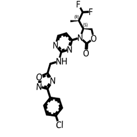 C[C@@H](C(F)F)[C@H]1COC(=O)N1c1ccnc(NCc2nc(-c3ccc(Cl)cc3)no2)n1